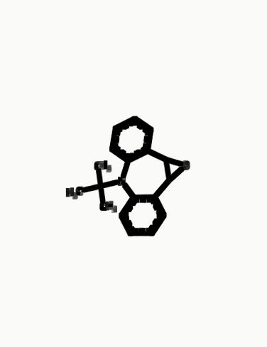 CC(C)(C)N1c2ccccc2C2OC2c2ccccc21